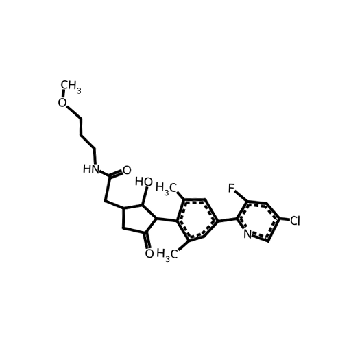 COCCCNC(=O)CC1CC(=O)C(c2c(C)cc(-c3ncc(Cl)cc3F)cc2C)C1O